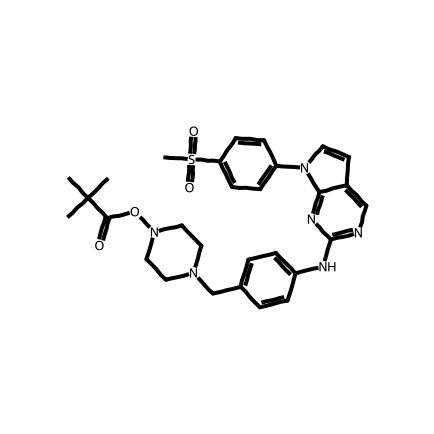 CC(C)(C)C(=O)ON1CCN(Cc2ccc(Nc3ncc4ccn(-c5ccc(S(C)(=O)=O)cc5)c4n3)cc2)CC1